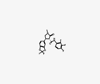 CN1C[C@H](c2ccc3c(c2)OC(F)(F)O3)[C@@H](C(=O)Nc2ccc(F)c(F)c2F)C1=O